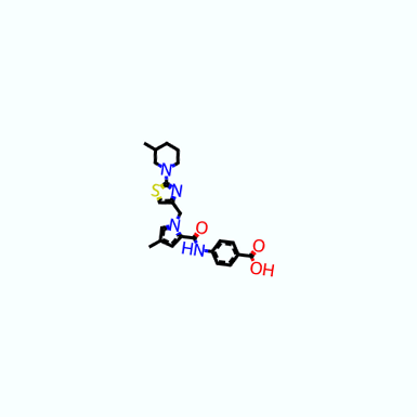 Cc1cc(C(=O)Nc2ccc(C(=O)O)cc2)n(Cc2csc(N3CCCC(C)C3)n2)c1